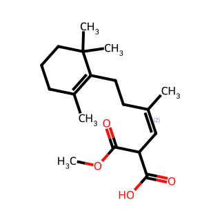 COC(=O)C(/C=C(/C)CCC1=C(C)CCCC1(C)C)C(=O)O